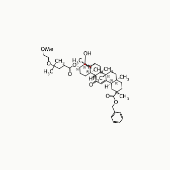 COCCOC(C)(C)CCC(=O)O[C@H]1CC[C@]2(C)[C@H]3C(=O)C=C4[C@@H]5C[C@@](C)(C(=O)OCc6ccccc6)CC[C@]5(C)CC[C@@]4(C)[C@]3(C)CC[C@]23N=C(O)[C@]13C